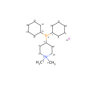 C[N+]1(C)CCC(P(C2CCCCC2)C2CCCCC2)CC1.[I-]